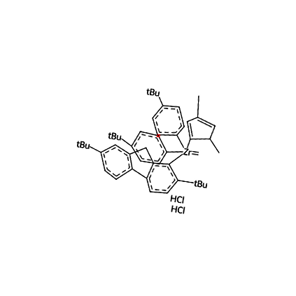 Cl.Cl.[CH2]=[Zr]([C]1=CC(C)=CC1C)([c]1ccc(C(C)(C)C)cc1)([c]1ccc(C(C)(C)C)cc1)[c]1c(C(C)(C)C)ccc2c1Cc1cc(C(C)(C)C)ccc1-2